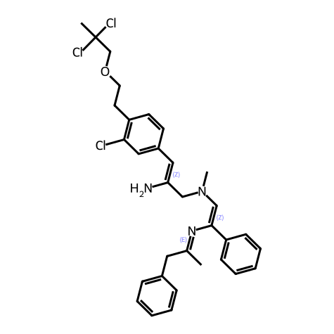 C/C(Cc1ccccc1)=N\C(=C/N(C)C/C(N)=C/c1ccc(CCOCC(C)(Cl)Cl)c(Cl)c1)c1ccccc1